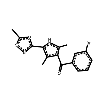 Cc1nnc(-c2[nH]c(C)c(C(=O)c3cccc(Br)c3)c2C)o1